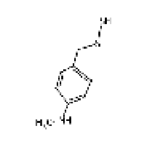 CNc1ccc(CSS)cc1